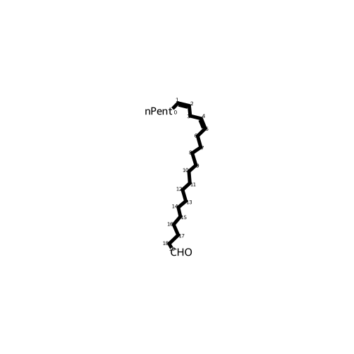 CCCCC/C=C\C/C=C\CCCCCCCCCCCCCC=O